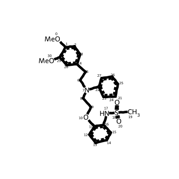 COc1ccc(CCN(CCOc2ccccc2NS(C)(=O)=O)c2ccccc2)cc1OC